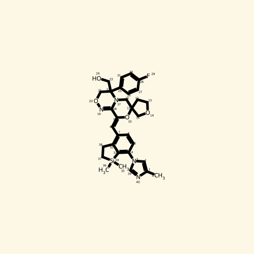 Cc1cn(-c2ccc(/C=C3\OC4(CCOC4)CN4C3=NOCC4(CO)c3ccc(F)cc3)c3c2[Si](C)(C)CC3)cn1